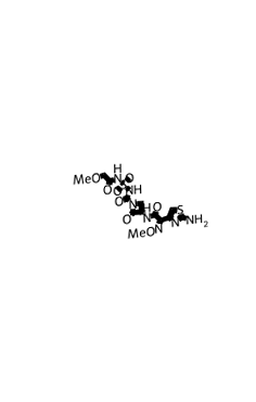 COCC(=O)NS(=O)(=O)NC(=O)N1C[C@H](NC(=O)C(=NOC)c2csc(N)n2)C1=O